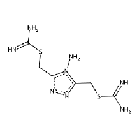 N=C(N)SCc1nnc(CSC(=N)N)n1N